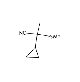 CSC(C)(C#N)C1CC1